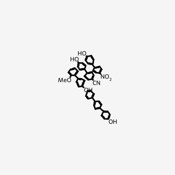 COc1ccccc1-c1ccc(O)cc1.N#Cc1ccc(-c2ccc(O)cc2)cc1.O=[N+]([O-])c1ccc(-c2ccc(O)cc2)cc1.Oc1ccc(-c2ccc(-c3ccccc3)cc2)cc1